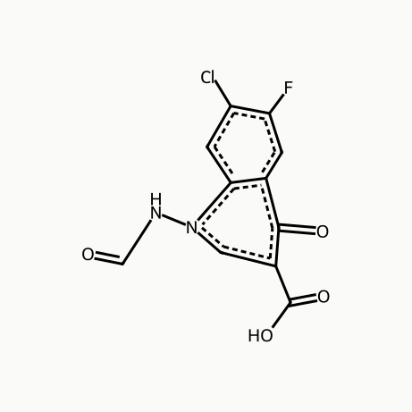 O=CNn1cc(C(=O)O)c(=O)c2cc(F)c(Cl)cc21